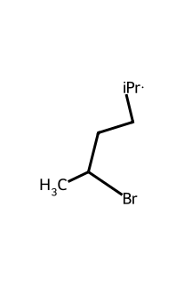 C[C](C)CCC(C)Br